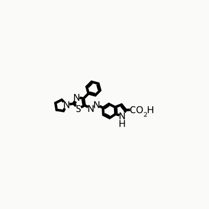 O=C(O)c1cc2cc(/N=N/c3sc(N4CCCC4)nc3-c3ccccc3)ccc2[nH]1